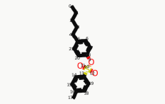 CCCCCc1ccc(OS(=O)(=O)c2ccc(C)cc2)cc1